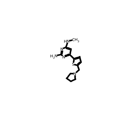 CNc1cc(-c2ccc(CN3CCCC3)s2)nc(N)n1